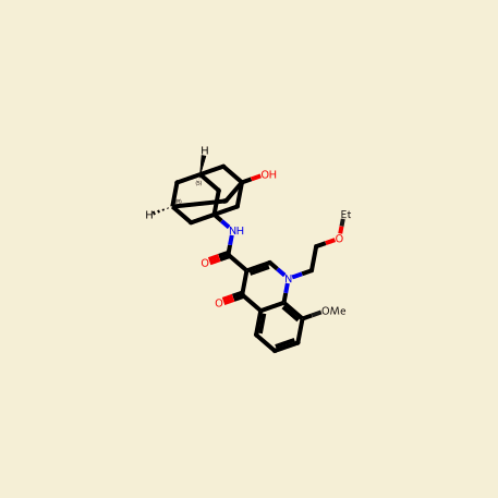 CCOCCn1cc(C(=O)NC23C[C@@H]4C[C@@H](CC(O)(C4)C2)C3)c(=O)c2cccc(OC)c21